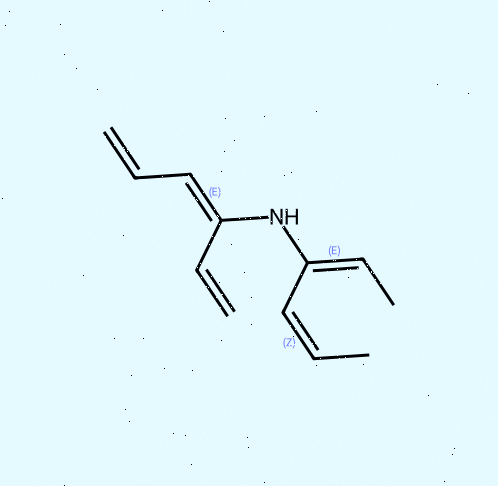 C=C/C=C(\C=C)NC(/C=C\C)=C/C